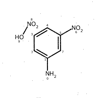 Nc1cccc([N+](=O)[O-])c1.O=[N+]([O-])O